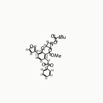 COC(=O)c1c(CS(=O)(=O)c2ccccc2)ccc(-c2ccoc2)c1OC1CN(OC(=O)C(C)(C)C)C1